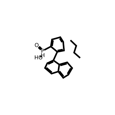 CCCC.O=[PH](O)c1ccccc1-c1cccc2ccccc12